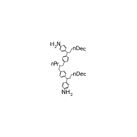 CCCCCCCCCCCCC(c1ccc(N)cc1)c1ccc(CC(CCC)Cc2ccc(C(CCCCCCCCCCCC)c3ccc(N)cc3)cc2)cc1